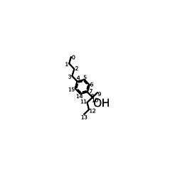 CCCCc1ccc(C(C)(O)CCC)cc1